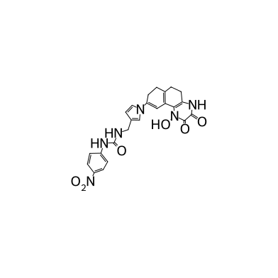 O=C(NCc1ccn(C2=CC3=C(CC2)CCc2[nH]c(=O)c(=O)n(O)c23)c1)Nc1ccc([N+](=O)[O-])cc1